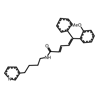 COc1ccccc1C(=CC=CC(=O)NCCCCc1cccnc1)c1ccccc1